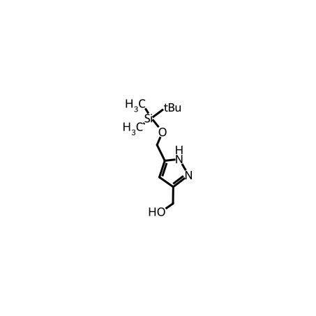 CC(C)(C)[Si](C)(C)OCc1cc(CO)n[nH]1